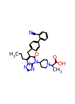 CCCc1c(Cc2ccc(-c3ccccc3C#N)cc2)c(=O)n(C2CCN(C(C)C(=O)O)CC2)c2ncnn12